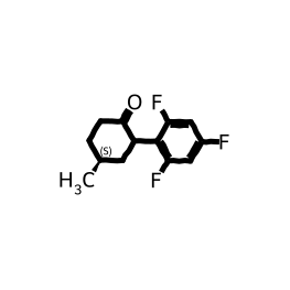 C[C@H]1CCC(=O)C(c2c(F)cc(F)cc2F)C1